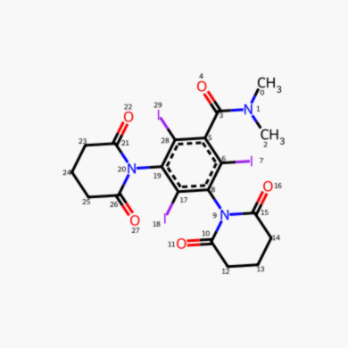 CN(C)C(=O)c1c(I)c(N2C(=O)CCCC2=O)c(I)c(N2C(=O)CCCC2=O)c1I